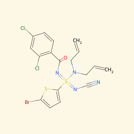 C=CCN(CC=C)S(=NC#N)(=NC(=O)c1ccc(Cl)cc1Cl)c1ccc(Br)s1